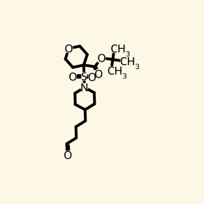 CC(C)(C)OC(=O)C1(S(=O)(=O)N2CCC(CCCC=O)CC2)CCOCC1